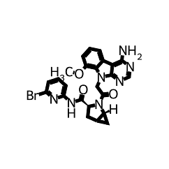 COc1cccc2c3c(N)ncnc3n(CC(=O)N3[C@@H]4CC4C[C@H]3C(=O)Nc3cccc(Br)n3)c12